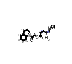 C=C(/C=C\C=C/NO)SCC(=O)N1CCCc2ccccc21